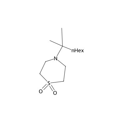 CCCCCCC(C)(C)N1CCS(=O)(=O)CC1